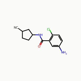 N#CC1CCC(NC(=O)c2cc(N)ccc2Cl)C1